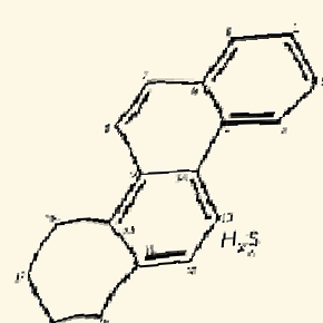 S.c1ccc2c(c1)ccc1c3c(ccc12)CCCC3